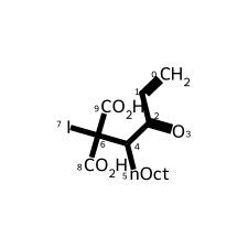 C=CC(=O)C(CCCCCCCC)C(I)(C(=O)O)C(=O)O